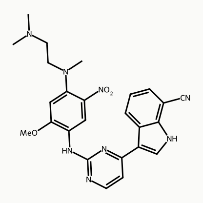 COc1cc(N(C)CCN(C)C)c([N+](=O)[O-])cc1Nc1nccc(-c2c[nH]c3c(C#N)cccc23)n1